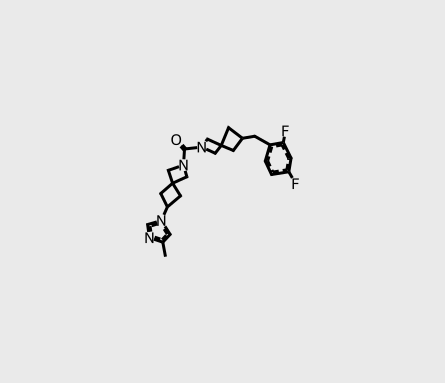 Cc1cn(C2CC3(C2)CN(C(=O)N2CC4(CC(Cc5ccc(F)cc5F)C4)C2)C3)cn1